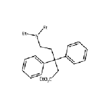 CCOC(=O)CC(CCN(CC)CC)(c1ccccc1)c1ccccc1